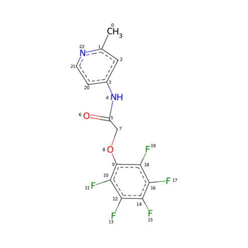 Cc1cc(NC(=O)COc2c(F)c(F)c(F)c(F)c2F)ccn1